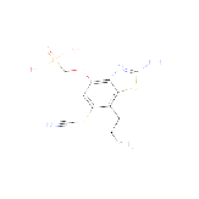 CCCc1c(SC#N)cc(OCP(=O)(O)O)c2nc(N)sc12